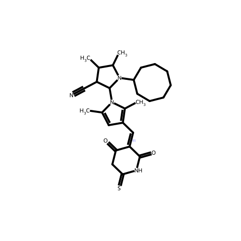 Cc1cc(/C=C2\C(=O)CC(=S)NC2=O)c(C)n1C1C(C#N)C(C)C(C)N1C1CCCCCCC1